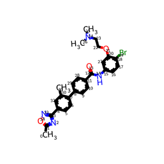 Cc1nc(-c2ccc(-c3ccc(C(=O)Nc4ccc(Br)c(OCCN(C)C)c4)cc3)c(C)c2)no1